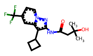 CC(C)(O)CC(=O)Nc1nn2ccc(C(F)(F)F)cc2c1C1CCC1